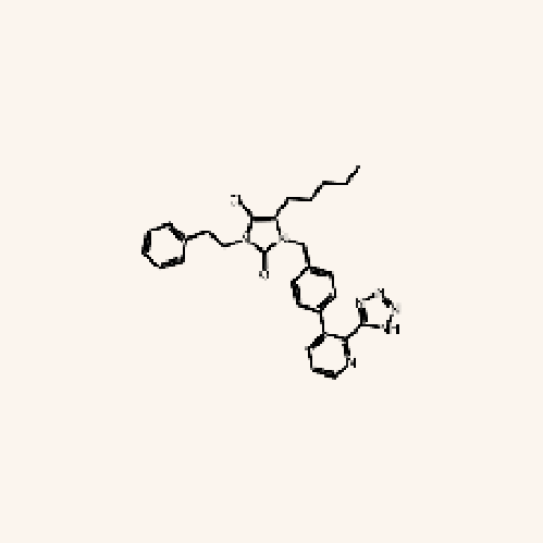 CCCCCc1c(Cl)n(CCc2ccccc2)c(=O)n1Cc1ccc(-c2cccnc2-c2nnn[nH]2)cc1